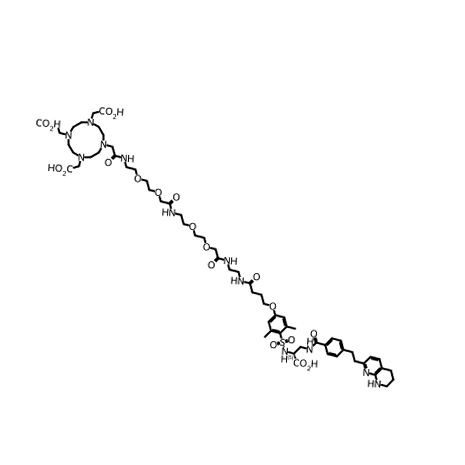 Cc1cc(OCCCC(=O)NCCNC(=O)COCCOCCNC(=O)COCCOCCNC(=O)CN2CCN(CC(=O)O)CCN(CC(=O)O)CCN(CC(=O)O)CC2)cc(C)c1S(=O)(=O)N[C@@H](CNC(=O)c1ccc(CCc2ccc3c(n2)NCCC3)cc1)C(=O)O